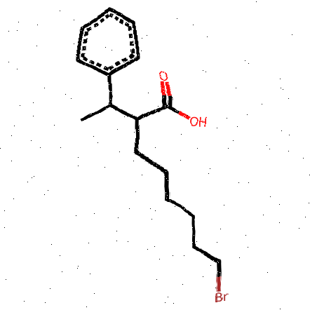 CC(c1ccccc1)C(CCCCCCBr)C(=O)O